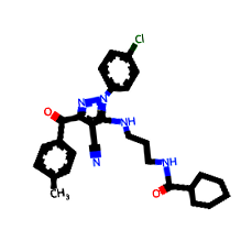 Cc1ccc(C(=O)c2nn(-c3ccc(Cl)cc3)c(NCCCNC(=O)C3CCCCC3)c2C#N)cc1